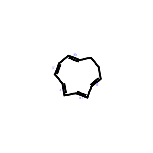 [C]1=C\C=C\CC/C=C/C=C/C=C/1